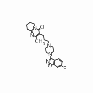 Cc1nc2n(c(=O)c1CCCN1CCN(c3noc4cc(F)ccc34)CC1)CCCC2